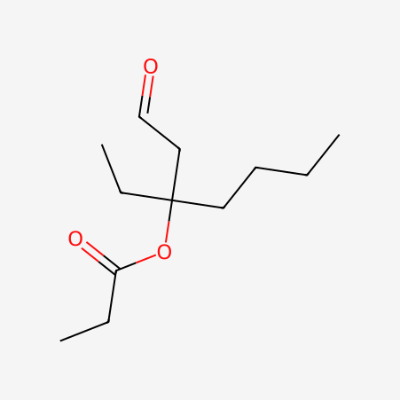 CCCCC(CC)(CC=O)OC(=O)CC